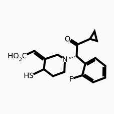 O=C(O)/C=C1/CN([C@H](C(=O)C2CC2)c2ccccc2F)CCC1S